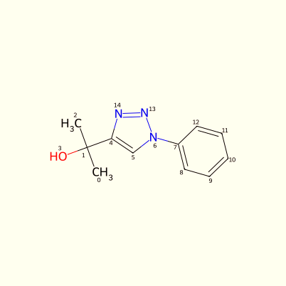 CC(C)(O)c1cn(-c2ccccc2)nn1